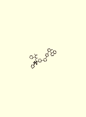 C=C(C)/C(C1=CCCC=C1)=C(\C)C/C(=N\C(=C)c1ccccc1)C1=CC=C(C2=CC=CC(c3ccc(C4=CC=CC(=C)C4c4cccc5ccccc45)cc3)C2)CC1